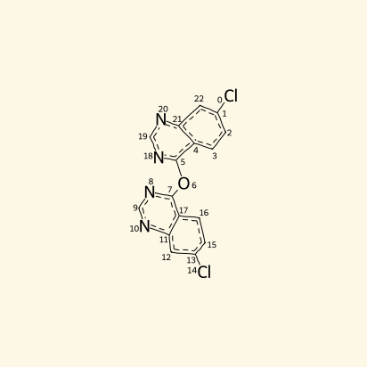 Clc1ccc2c(Oc3ncnc4cc(Cl)ccc34)ncnc2c1